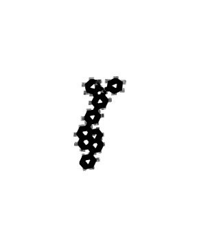 c1ccc(-c2ccc3ccc4c(-c5ccc(-c6ccc7c(c6)c6cccnc6n7-c6ccccc6)cc5)ccc5ccc2c3c54)cc1